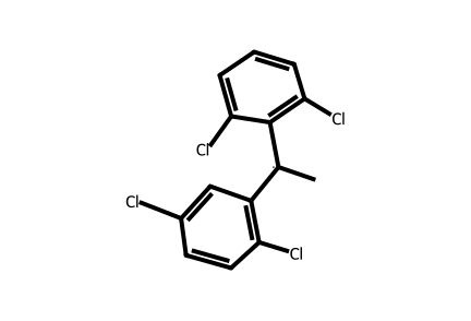 C[C](c1cc(Cl)ccc1Cl)c1c(Cl)cccc1Cl